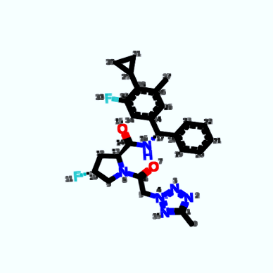 Cc1nnn(CC(=O)N2C[C@H](F)C[C@H]2C(=O)N[C@@H](c2ccccc2)c2cc(C)c(C3CC3)c(F)c2)n1